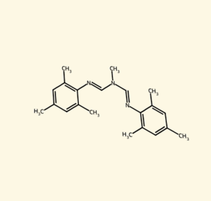 Cc1cc(C)c(/N=C/N(C)/C=N/c2c(C)cc(C)cc2C)c(C)c1